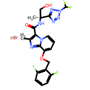 Br.Cc1nc2c(OCc3c(F)cccc3F)cccn2c1C(=O)N[C@@](C)(CO)c1nnn(C(F)F)n1